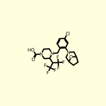 O=C(O)N1CCN(Cc2ccc(Cl)cc2N2CC3CCC(C2)O3)C(C(C(F)(F)F)C(F)(F)F)C1